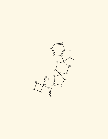 CN(C)C1(c2ccccc2)CCC2(CCN(C(=O)C3(O)CCC3)C2)CC1